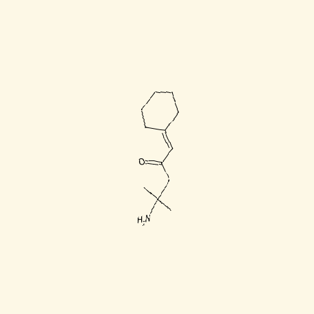 CC(C)(N)CC(=O)C=C1CCCCC1